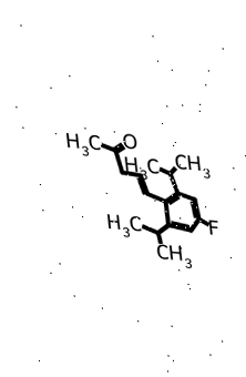 CC(=O)C/C=C/c1c(C(C)C)cc(F)cc1C(C)C